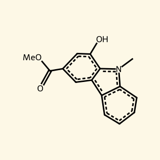 COC(=O)c1cc(O)c2c(c1)c1ccccc1n2C